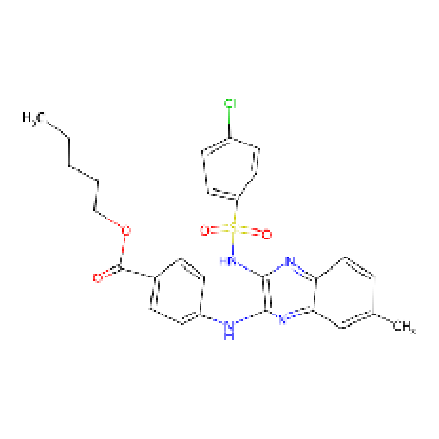 CCCCCOC(=O)c1ccc(Nc2nc3cc(C)ccc3nc2NS(=O)(=O)c2ccc(Cl)cc2)cc1